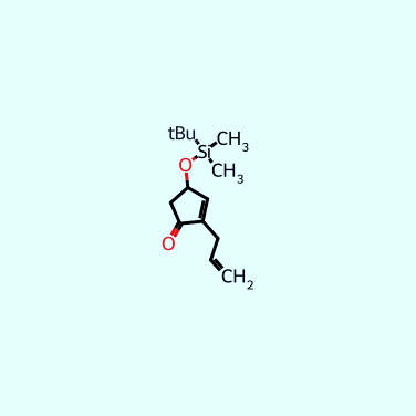 C=CCC1=CC(O[Si](C)(C)C(C)(C)C)CC1=O